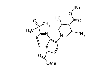 COC(=O)c1ccc(N2C[C@@H](C)N(C(=O)OC(C)(C)C)[C@@H](C)C2)c2nc(P(C)(C)=O)cnc12